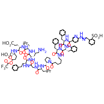 CC(C)C[C@H](NC(=O)[C@H](CCCN)NC(=O)[C@H](CCc1ccccc1)NC(=O)CNC(=O)[C@H](CC(C)C)NC(=O)[C@@H]1CCCN1C(=O)CCCCCNC(=O)[C@@H](Cc1ccccc1)NC(=O)[C@@H](Cc1ccccc1)NC(=O)[C@@H](Cc1ccccc1)NC(=O)c1ccc(N/N=C/c2ccccc2S(=O)(=O)O)nc1)C(=O)N[C@@H](CCC(=O)O)C(=O)N[C@@H](CCC(=O)OC(=O)C(F)(F)F)C(=O)O